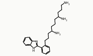 NCCCC(N)CCCC(N)CCCc1ccccc1-c1nc2ccccc2[nH]1